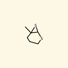 CC12CCCSC1S2